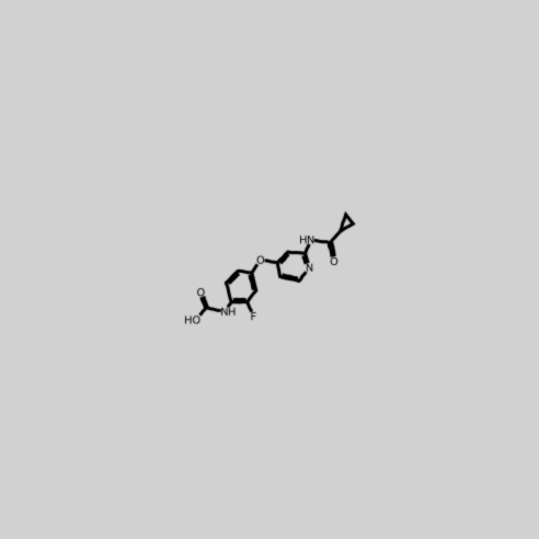 O=C(O)Nc1ccc(Oc2ccnc(NC(=O)C3CC3)c2)cc1F